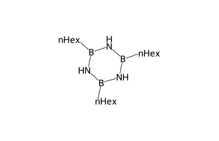 CCCCCCB1NB(CCCCCC)NB(CCCCCC)N1